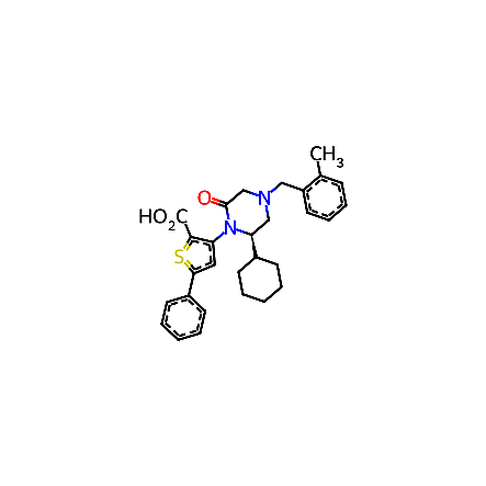 Cc1ccccc1CN1CC(=O)N(c2cc(-c3ccccc3)sc2C(=O)O)[C@H](C2CCCCC2)C1